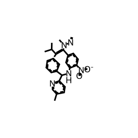 C=NN(C)/C(=C(/C)C(C)C)c1ccc([N+](=O)[O-])c(NC(c2ccccc2)c2ccc(C)cn2)c1